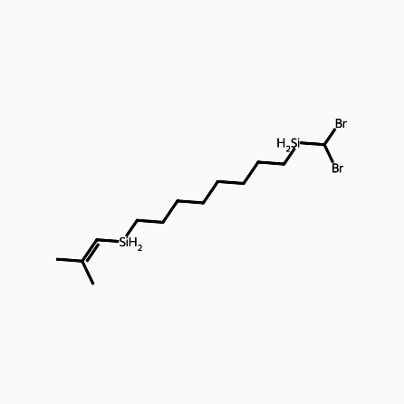 CC(C)=C[SiH2]CCCCCCCC[SiH2]C(Br)Br